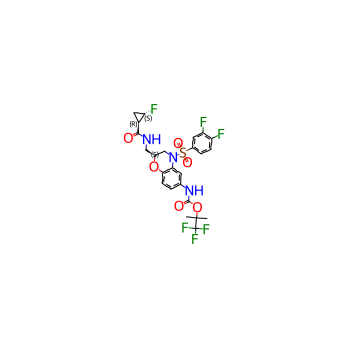 CC(C)(OC(=O)Nc1ccc2c(c1)N(S(=O)(=O)c1ccc(F)c(F)c1)C[C@H](CNC(=O)[C@H]1C[C@@H]1F)O2)C(F)(F)F